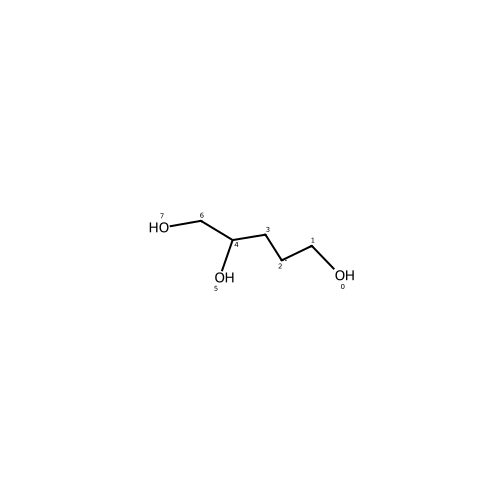 OC[CH]CC(O)CO